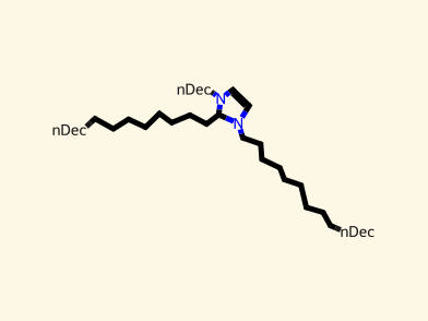 CCCCCCCCCCCCCCCCCCCN1C=CN(CCCCCCCCCC)C1CCCCCCCCCCCCCCCCCC